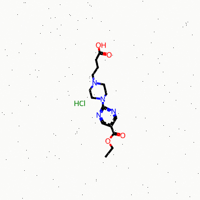 CCOC(=O)c1cnc(N2CCN(CCCC(=O)O)CC2)nc1.Cl